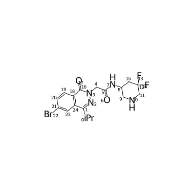 CC(C)c1nn(CC(=O)NC2CNCC(F)(F)C2)c(=O)c2ccc(Br)cc12